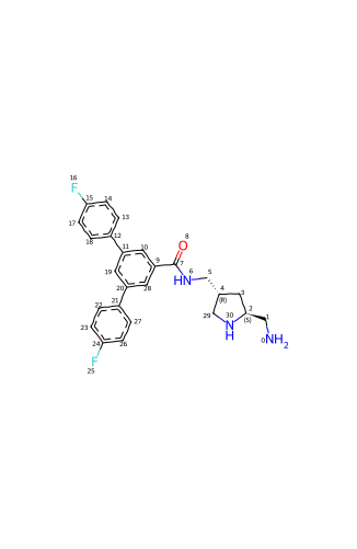 NC[C@@H]1C[C@@H](CNC(=O)c2cc(-c3ccc(F)cc3)cc(-c3ccc(F)cc3)c2)CN1